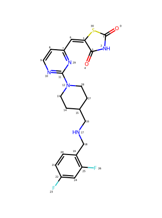 O=C1NC(=O)/C(=C\c2ccnc(N3CCC(CNCc4ccc(F)cc4F)CC3)n2)S1